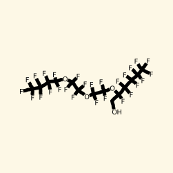 OCC(F)(OC(F)(F)C(F)(F)OC(F)(F)C(F)(F)OC(F)(F)C(F)(F)C(F)(F)C(F)(F)F)C(F)(F)C(F)(F)C(F)(F)C(F)(F)F